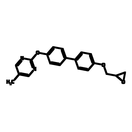 Cc1cnc(Oc2ccc(-c3ccc(OCC4CO4)cc3)cc2)nc1